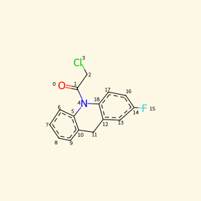 O=C(CCl)N1c2ccccc2Cc2cc(F)ccc21